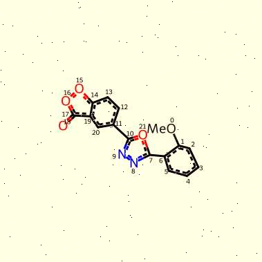 COc1ccccc1-c1nnc(-c2ccc3ooc(=O)c3c2)o1